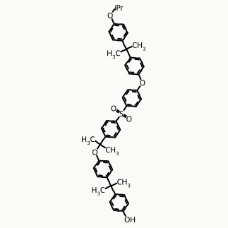 CC(C)Oc1ccc(C(C)(C)c2ccc(Oc3ccc(S(=O)(=O)c4ccc(C(C)(C)Oc5ccc(C(C)(C)c6ccc(O)cc6)cc5)cc4)cc3)cc2)cc1